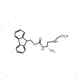 C[C@@H](CNCC(=O)O)NC(=O)OCC1c2ccccc2-c2ccccc21